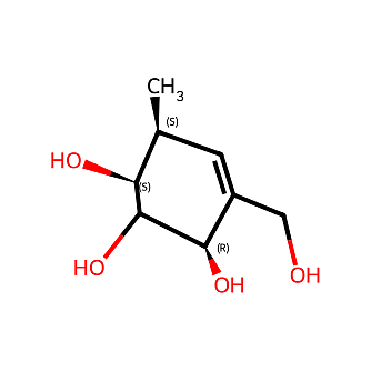 C[C@H]1C=C(CO)[C@@H](O)C(O)[C@H]1O